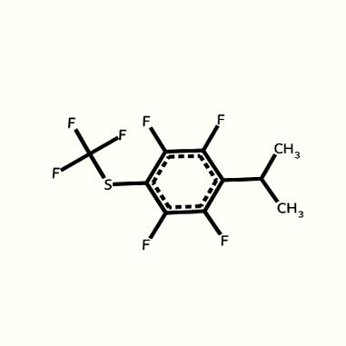 CC(C)c1c(F)c(F)c(SC(F)(F)F)c(F)c1F